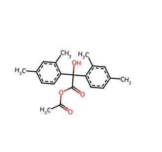 CC(=O)OC(=O)C(O)(c1ccc(C)cc1C)c1ccc(C)cc1C